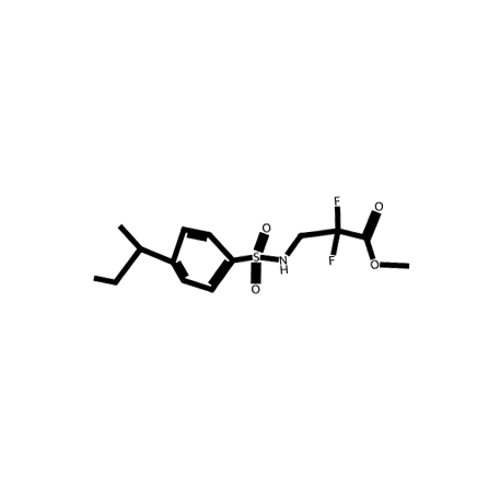 CCC(C)c1ccc(S(=O)(=O)NCC(F)(F)C(=O)OC)cc1